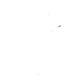 C[C@H](CN)Cc1ccccc1O[C@H](C)CO